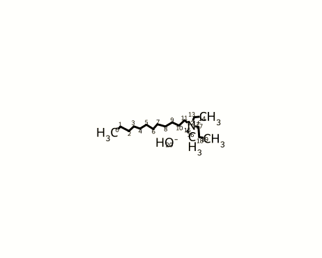 CCCCCCCCCCCC[N+](CC)(CC)CCC.[OH-]